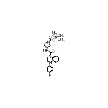 CC(C)(C)OC(=O)N1CC[C@H](NC(=O)N2CCN(c3ccc(F)cc3)c3ccccc32)C1